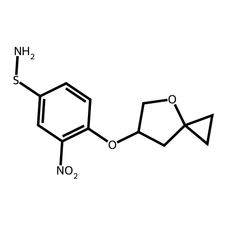 NSc1ccc(OC2COC3(CC3)C2)c([N+](=O)[O-])c1